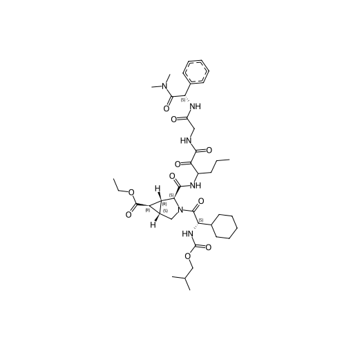 CCCC(NC(=O)[C@@H]1[C@@H]2[C@H](CN1C(=O)[C@@H](NC(=O)OCC(C)C)C1CCCCC1)[C@H]2C(=O)OCC)C(=O)C(=O)NCC(=O)N[C@H](C(=O)N(C)C)c1ccccc1